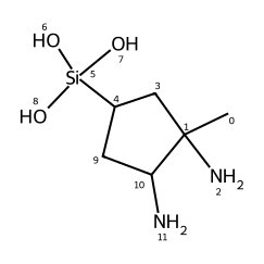 CC1(N)CC([Si](O)(O)O)CC1N